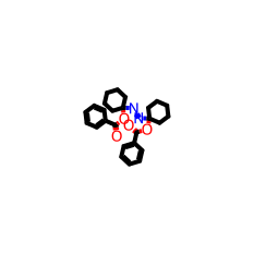 O=C(OC1(N=NC2(OC(=O)c3ccccc3)CCCCC2)CCCCC1)c1ccccc1